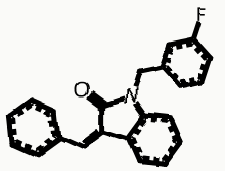 O=C1C(=Cc2ccccc2)c2ccccc2N1Cc1cccc(F)c1